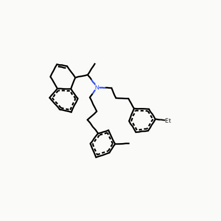 CCc1cccc(CCCN(CCCc2cccc(C)c2)C(C)C2C=CCc3ccccc32)c1